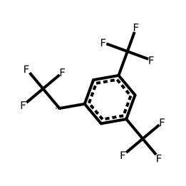 FC(F)(F)[CH]c1cc(C(F)(F)F)cc(C(F)(F)F)c1